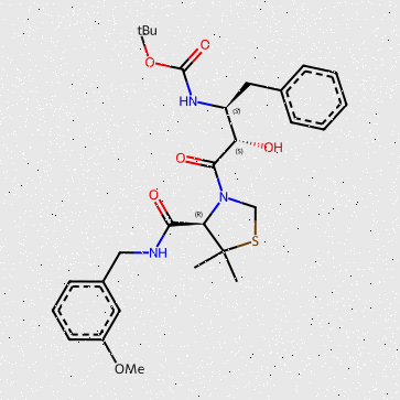 COc1cccc(CNC(=O)[C@H]2N(C(=O)[C@@H](O)[C@H](Cc3ccccc3)NC(=O)OC(C)(C)C)CSC2(C)C)c1